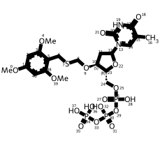 COc1cc(OC)c(CSCO[C@H]2CC(n3cc(C)c(=O)[nH]c3=O)O[C@@H]2COP(=O)(O)OP(=O)(O)OP(=O)(O)O)c(OC)c1